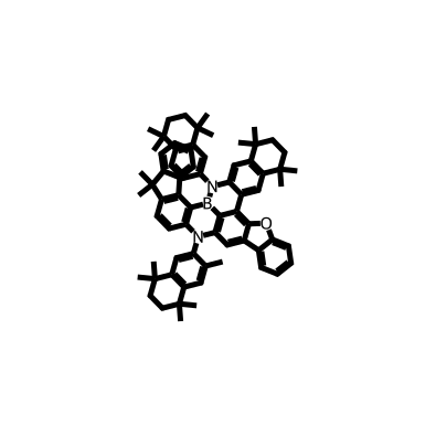 Cc1cc2c(cc1N1c3ccc4c(c3B3c5c1cc1c(oc6ccccc61)c5-c1cc5c(cc1N3c1ccc3c(c1)C(C)(C)CCC3(C)C)C(C)(C)CCC5(C)C)-c1ccccc1C4(C)C)C(C)(C)CCC2(C)C